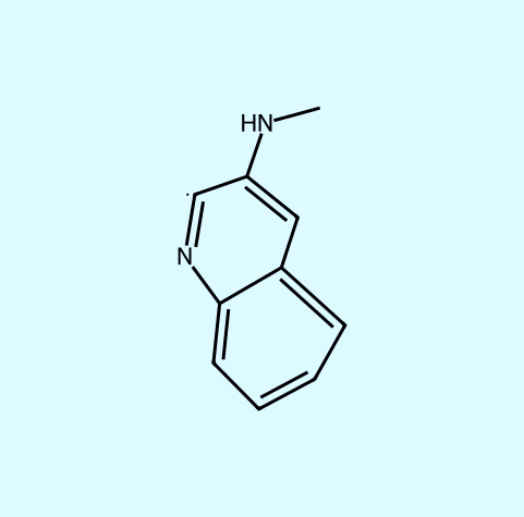 CNc1[c]nc2ccccc2c1